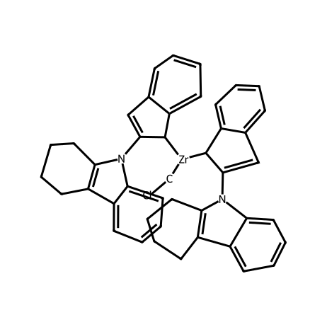 Cl[CH2][Zr]([CH]1C(n2c3c(c4ccccc42)CCCC3)=Cc2ccccc21)[CH]1C(n2c3c(c4ccccc42)CCCC3)=Cc2ccccc21